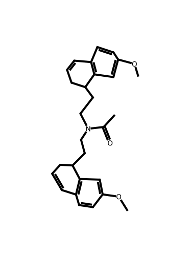 COc1ccc2c(c1)C(CCN(CCC1CC=Cc3ccc(OC)cc31)C(C)=O)CC=C2